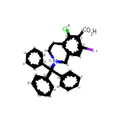 O=C(O)c1c(I)cc2c(c1Cl)CCN(C(c1ccccc1)(c1ccccc1)c1ccccc1)C2